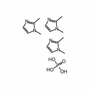 Cc1nccn1C.Cc1nccn1C.Cc1nccn1C.O=P(O)(O)O